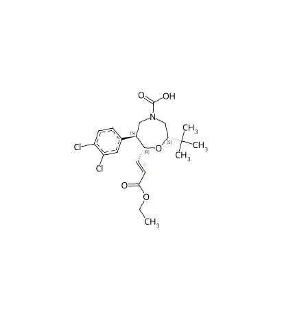 CCOC(=O)/C=C/[C@H]1O[C@@H](C(C)(C)C)CN(C(=O)O)C[C@@H]1c1ccc(Cl)c(Cl)c1